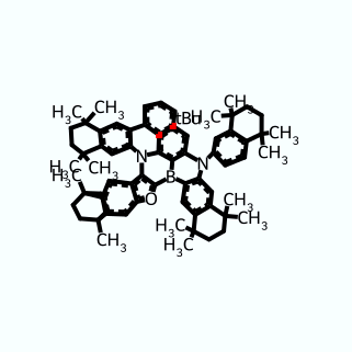 CC(C)(C)c1cc2c3c(c1)N(c1cc4c(cc1-c1ccccc1)C(C)(C)CCC4(C)C)c1c(oc4cc5c(cc14)C1(C)CCC5(C)CC1)B3c1cc3c(cc1N2c1ccc2c(c1)C(C)(C)CCC2(C)C)C(C)(C)CCC3(C)C